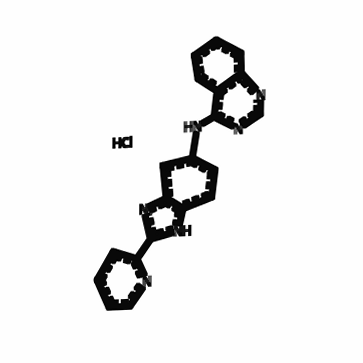 Cl.c1ccc(-c2nc3cc(Nc4ncnc5ccccc45)ccc3[nH]2)nc1